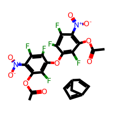 C1=CC2=CC=C1C2.CC(=O)Oc1c(F)c(Oc2c(F)c(F)c([N+](=O)[O-])c(OC(C)=O)c2F)c(F)c(F)c1[N+](=O)[O-]